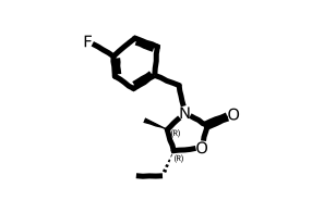 CC[C@H]1OC(=O)N(Cc2ccc(F)cc2)[C@@H]1C